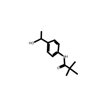 CC(O)c1ccc(NC(=O)C(C)(C)C)cc1